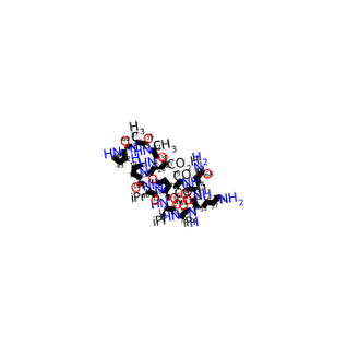 CC(C)C[C@H](NC(=O)[C@@H]1CCCN1C(=O)[C@@H](NC(=O)[C@@H]1CCCN1C(=O)[C@H](CCC(=O)O)NC(=O)[C@H](C)NC(=O)[C@H](C)NC(=O)[C@@H]1CCCN1)C(C)C)C(=O)N[C@H](C(=O)N[C@@H](CCCCN)C(=O)N[C@@H](CCC(N)=O)C(=O)N[C@@H](CC(=O)O)C(=O)O)C(C)C